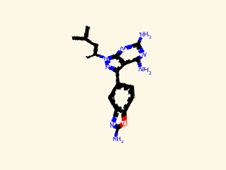 CC(C)C[C@H](C)n1nc(-c2ccc3oc(N)nc3c2)c2c(N)nc(N)nc21